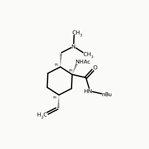 C=C[C@@H]1CC[C@H](CN(C)C)[C@@](NC(C)=O)(C(=O)NCCCC)C1